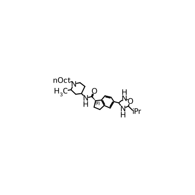 CCCCCCCCN1CCC(NC(=O)[C@@H]2CCc3cc(C4NOC(C(C)C)N4)ccc32)CC1C